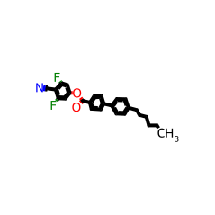 CCCCCCc1ccc(-c2ccc(C(=O)Oc3cc(F)c(C#N)c(F)c3)cc2)cc1